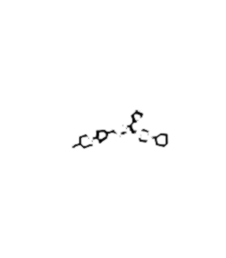 O=C(Nc1nc(-c2cc(Cl)cs2)c(N2CCN(C3CCCCC3)CC2)s1)c1cc(F)c(N2CCC(C(=O)O)CC2)c(Cl)c1